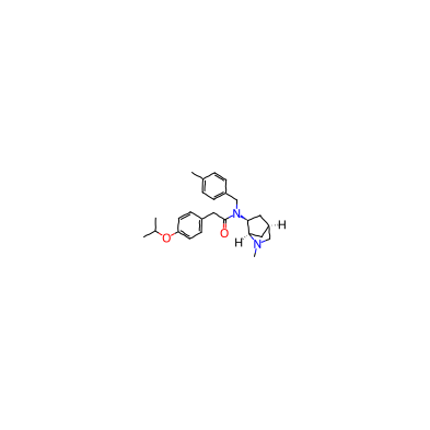 Cc1ccc(CN(C(=O)Cc2ccc(OC(C)C)cc2)[C@H]2C[C@@H]3C[C@H]2N(C)C3)cc1